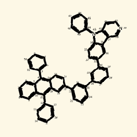 c1ccc(-c2c3ccccc3c(-c3ccccc3)c3cc(-c4cccc(-c5cccc(-c6ccc7c(c6)c6cnccc6n7-c6ccccc6)c5)c4)ccc23)cc1